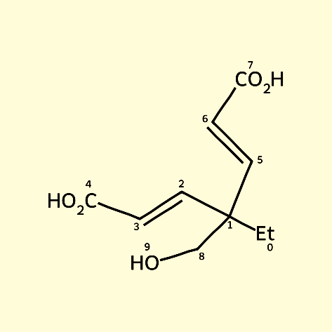 CCC(C=CC(=O)O)(C=CC(=O)O)CO